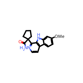 COc1ccc2c(c1)[nH]c1c(C3(C(N)=O)CCCC3)nccc12